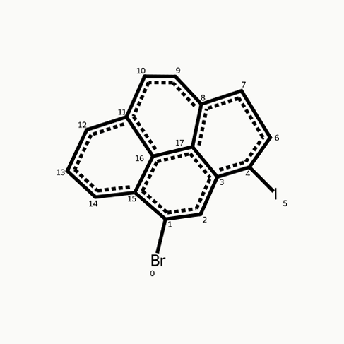 Brc1cc2c(I)ccc3ccc4cccc1c4c32